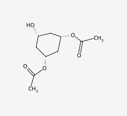 CC(=O)O[C@@H]1C[C@H](O)C[C@H](OC(C)=O)C1